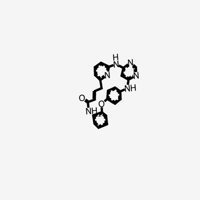 NC(=O)C=CCc1cccc(Nc2cc(Nc3ccc(Oc4ccccc4)cc3)ncn2)n1